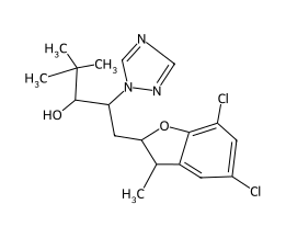 CC1c2cc(Cl)cc(Cl)c2OC1CC(C(O)C(C)(C)C)n1cncn1